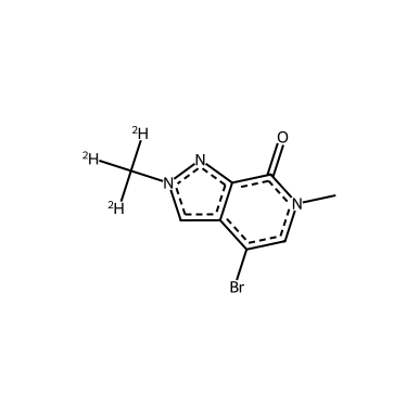 [2H]C([2H])([2H])n1cc2c(Br)cn(C)c(=O)c2n1